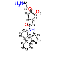 COc1cc(CC(=O)Nc2cccc(-c3ccccc3-c3ccccc3)c2)ccc1OCCN